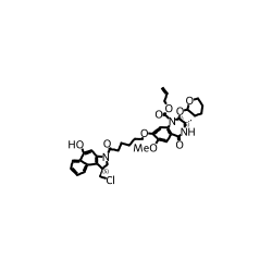 C=CCOC(=O)N1c2cc(OCCCCCC(=O)N3C[C@@H](CCl)c4c3cc(O)c3ccccc43)c(OC)cc2C(=O)N[C@@H](C)[C@@H]1OC1CCCCO1